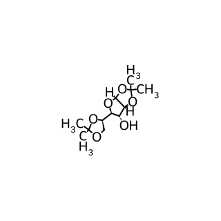 CC1(C)O[C@H]2O[C@H]([C@H]3COC(C)(C)O3)[C@@H](O)[C@H]2O1